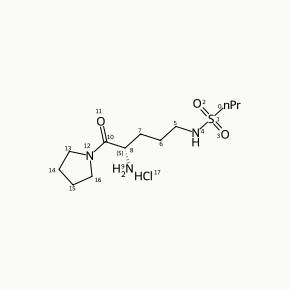 CCCS(=O)(=O)NCCC[C@H](N)C(=O)N1CCCC1.Cl